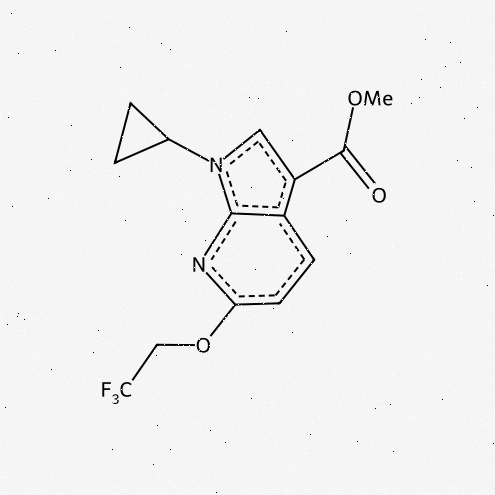 COC(=O)c1cn(C2CC2)c2nc(OCC(F)(F)F)ccc12